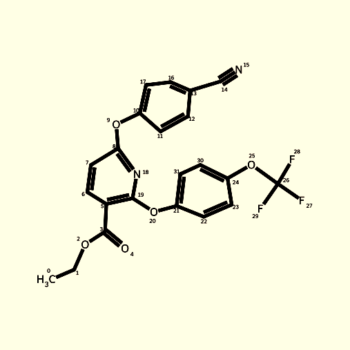 CCOC(=O)c1ccc(Oc2ccc(C#N)cc2)nc1Oc1ccc(OC(F)(F)F)cc1